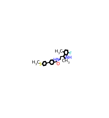 CSc1ccc(-c2ccc(C(=O)NCCc3c(C)[nH]c4c(F)ccc(C)c34)cc2)cc1